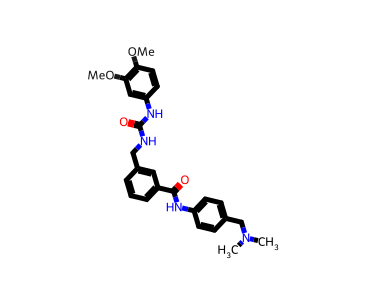 COc1ccc(NC(=O)NCc2cccc(C(=O)Nc3ccc(CN(C)C)cc3)c2)cc1OC